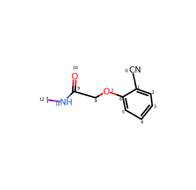 N#Cc1ccccc1OCC(=O)NI